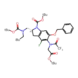 CCC(C)CN(C[C@H]1Cc2c(cc(OCc3ccccc3)c(N(CC(=O)OC(C)(C)C)C(=O)C(F)(F)F)c2F)N1C(=O)OC(C)(C)C)C(=O)OC(C)(C)C